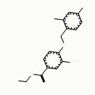 COc1cc(C(=O)NCC(=O)O)ccc1OCc1ccc(Cl)cc1Cl